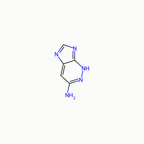 Nc1cc2ncnc-2[nH]n1